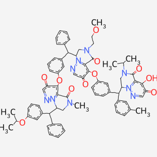 COCCN1CC(C(c2ccccc2)c2cccc(Oc3c4n(ncc3=O)C(C(c3ccccc3)c3cccc(OC(C)C)c3)CN(C)C4=O)c2)n2ncc(=O)c(Oc3cccc(C(c4cccc(C)c4)C4CN(C(C)C)C(=O)c5c(O)c(=O)cnn54)c3)c2C1=O